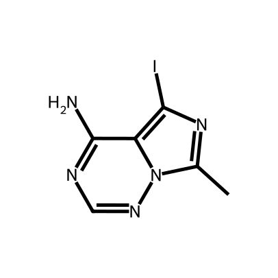 Cc1nc(I)c2c(N)ncnn12